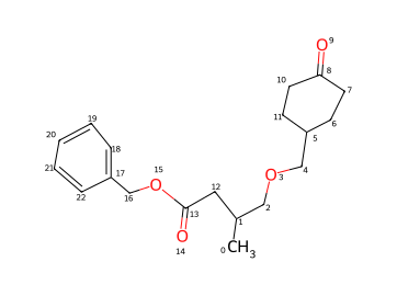 CC(COCC1CCC(=O)CC1)CC(=O)OCc1ccccc1